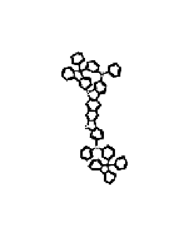 c1ccc(N(c2cccc(C3(c4ccccc4)c4ccccc4-c4ccccc43)c2)c2ccc3c(c2)sc2cc4cc5sc6cc(N(c7ccccc7)c7cccc(C8(c9ccccc9)c9ccccc9-c9ccccc98)c7)ccc6c5cc4cc23)cc1